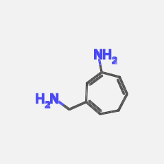 NCC1=CCC=CC(N)=C1